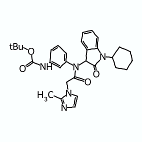 Cc1nccn1CC(=O)N(c1cccc(NC(=O)OC(C)(C)C)c1)C1C(=O)N(C2CCCCC2)c2ccccc21